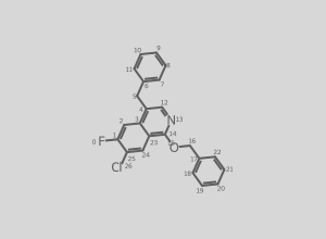 Fc1cc2c(Cc3ccccc3)cnc(OCc3ccccc3)c2cc1Cl